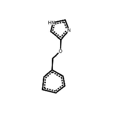 c1ccc(COc2c[nH]cn2)cc1